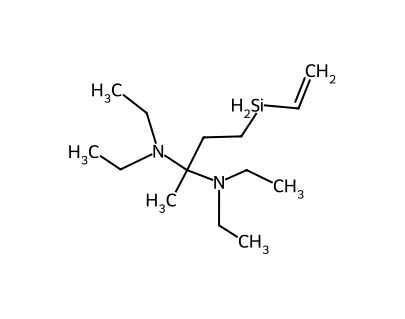 C=C[SiH2]CCC(C)(N(CC)CC)N(CC)CC